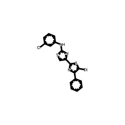 CCc1sc(-c2csc(Nc3cccc(Cl)c3)n2)nc1-c1ccccc1